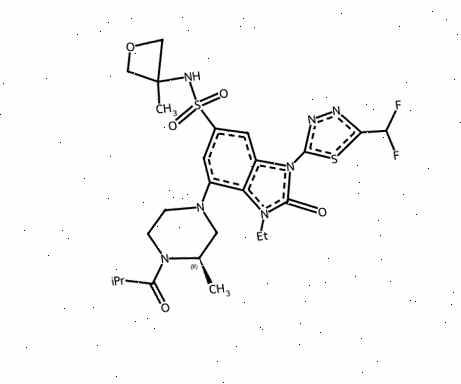 CCn1c(=O)n(-c2nnc(C(F)F)s2)c2cc(S(=O)(=O)NC3(C)COC3)cc(N3CCN(C(=O)C(C)C)[C@H](C)C3)c21